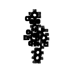 CCC(NC(=O)[C@@H]1C[C@@H](S(=O)(=O)c2ccccc2Cl)CN1C(=O)C1(c2ccc(Cl)cc2)CC1)C(=O)C(=O)NCCc1ccc2ccccc2c1